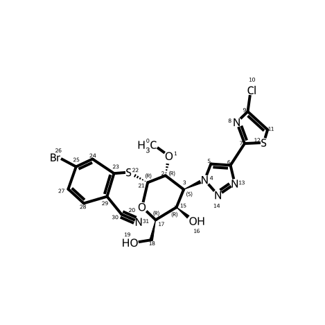 CO[C@@H]1[C@@H](n2cc(-c3nc(Cl)cs3)nn2)[C@@H](O)[C@@H](CO)O[C@@H]1Sc1cc(Br)ccc1C#N